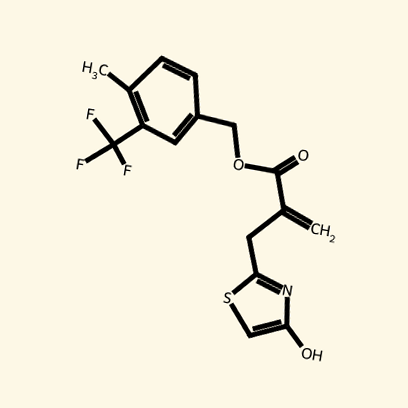 C=C(Cc1nc(O)cs1)C(=O)OCc1ccc(C)c(C(F)(F)F)c1